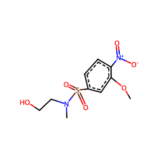 COc1cc(S(=O)(=O)N(C)CCO)ccc1[N+](=O)[O-]